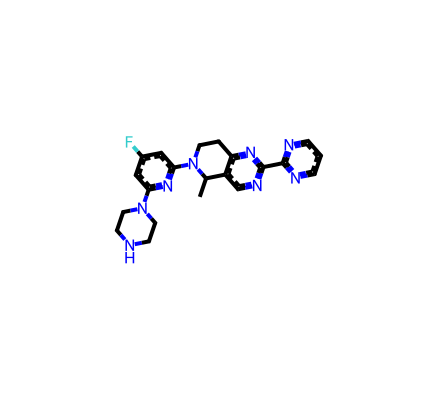 CC1c2cnc(-c3ncccn3)nc2CCN1c1cc(F)cc(N2CCNCC2)n1